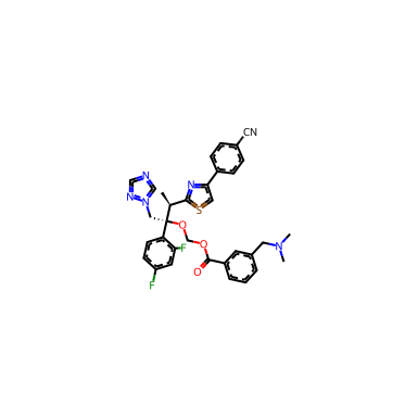 C[C@@H](c1nc(-c2ccc(C#N)cc2)cs1)[C@@](Cn1cncn1)(OCOC(=O)c1cccc(CN(C)C)c1)c1ccc(F)cc1F